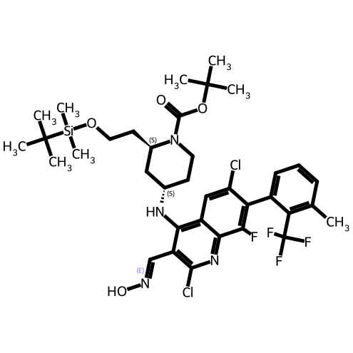 Cc1cccc(-c2c(Cl)cc3c(N[C@H]4CCN(C(=O)OC(C)(C)C)[C@H](CCO[Si](C)(C)C(C)(C)C)C4)c(/C=N/O)c(Cl)nc3c2F)c1C(F)(F)F